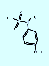 CN(c1ccc(C(=O)O)cc1)S(C)(=O)=O